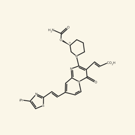 CC(C)c1csc(C=Cc2ccn3c(=O)c(C=CC(=O)O)c(N4CCC[C@H](OC(N)=O)C4)nc3c2)n1